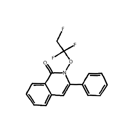 O=c1c2ccccc2cc(-c2ccccc2)n1OC(F)(F)CF